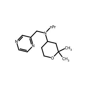 CCCN(Cc1cnccn1)C1CCOC(C)(C)C1